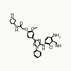 COc1cc(-c2nc(Nc3ccc(N)c(C=N)c3Cl)n(-c3ccccc3)n2)ccc1OCC(=O)NC1CCNC1